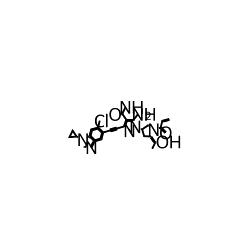 C=CC(=O)N1C[C@@H](n2nc(C#Cc3cc4ncn(C5CC5)c4cc3Cl)c(C(N)=O)c2NC)C/C1=C(\C)O